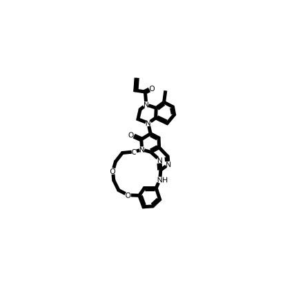 C=CC(=O)N1CCN(c2cc3cnc4nc3n(c2=O)CCCOCCOc2cccc(c2)N4)c2cccc(C)c21